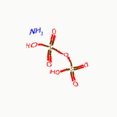 N.O=S(=O)(O)OS(=O)(=O)O